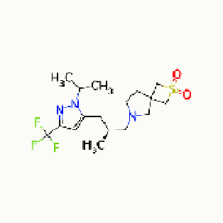 CC(C)n1nc(C(F)(F)F)cc1C[C@H](C)CN1CCC2(C1)CS(=O)(=O)C2